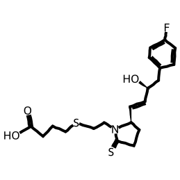 O=C(O)CCCSCCN1C(=S)CC[C@@H]1/C=C/[C@@H](O)Cc1ccc(F)cc1